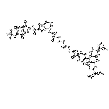 CN(C)c1ccc2c(c1)OC1=CC(N(C)C)C=CC1C2c1ccc(C(=O)NCCNCCCC(=O)NCc2cccc3c2CN(C(=O)C[C@@H]2C[C@@H](C(=O)N4CC(F)(F)CC4C#N)NC2=O)C3)cc1C(=O)O